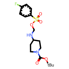 CC(C)(C)OC(=O)N1CCC(NCOS(=O)(=O)c2ccc(F)cc2)CC1